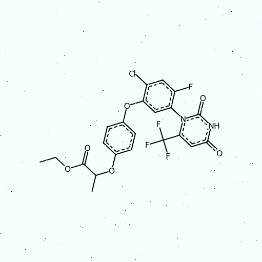 CCOC(=O)C(C)Oc1ccc(Oc2cc(-n3c(C(F)(F)F)cc(=O)[nH]c3=O)c(F)cc2Cl)cc1